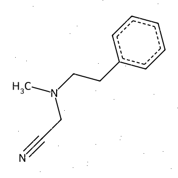 CN(CC#N)CCc1ccccc1